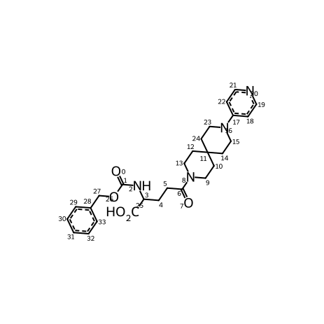 O=C(NC(CCC(=O)N1CCC2(CC1)CCN(c1ccncc1)CC2)C(=O)O)OCc1ccccc1